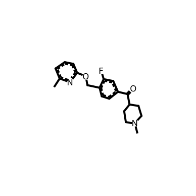 Cc1cccc(OCc2ccc(C(=O)C3CCN(C)CC3)cc2F)n1